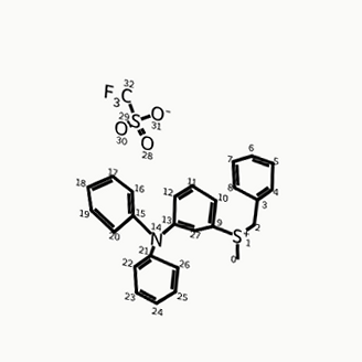 C[S+](Cc1ccccc1)c1cccc(N(c2ccccc2)c2ccccc2)c1.O=S(=O)([O-])C(F)(F)F